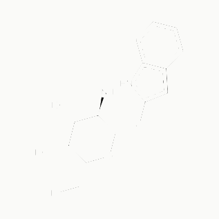 N[C@H]1[C@H](Oc2cc3ccccc3[nH]2)O[C@H](CO)[C@H](O)[C@@H]1O